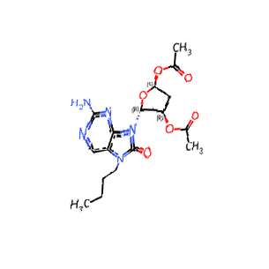 CCCCn1c(=O)n([C@@H]2O[C@@H](OC(C)=O)C[C@H]2OC(C)=O)c2nc(N)ncc21